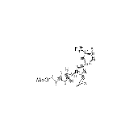 COCCN1C[C@@H]2[C@H](C1)[C@H]2n1cc(-c2cnc(C)c(C(F)(F)F)c2)nc1C1CC1